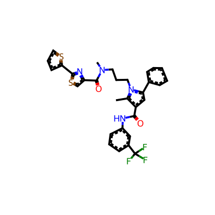 Cc1c(C(=O)Nc2cccc(C(F)(F)F)c2)cc(-c2ccccc2)n1CCCN(C)C(=O)c1csc(-c2cccs2)n1